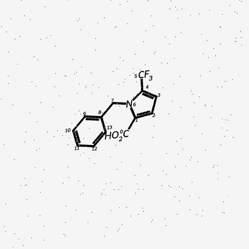 O=C(O)c1ccc(C(F)(F)F)n1Cc1ccccc1